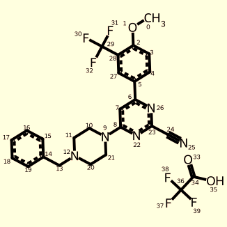 COc1ccc(-c2cc(N3CCN(Cc4ccccc4)CC3)nc(C#N)n2)cc1C(F)(F)F.O=C(O)C(F)(F)F